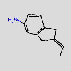 CC=C1Cc2ccc(N)cc2C1